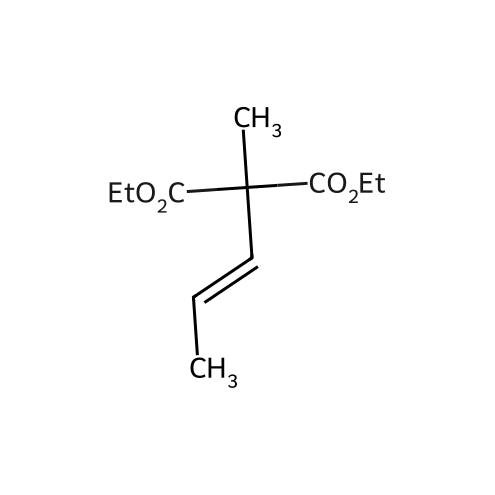 CC=CC(C)(C(=O)OCC)C(=O)OCC